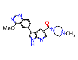 COc1ncnc2ccc(-c3c[nH]c4ncc(C(=O)N5CCN(C)CC5)cc34)cc12